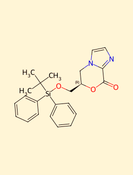 CC(C)(C)[Si](OC[C@H]1Cn2ccnc2C(=O)O1)(c1ccccc1)c1ccccc1